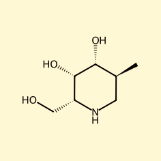 C[C@H]1CN[C@H](CO)[C@H](O)[C@@H]1O